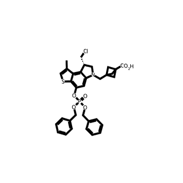 Cc1csc2c(OP(=O)(OCc3ccccc3)OCc3ccccc3)cc3c(c12)[C@H](CCl)CN3CC12CC(C(=O)O)(C1)C2